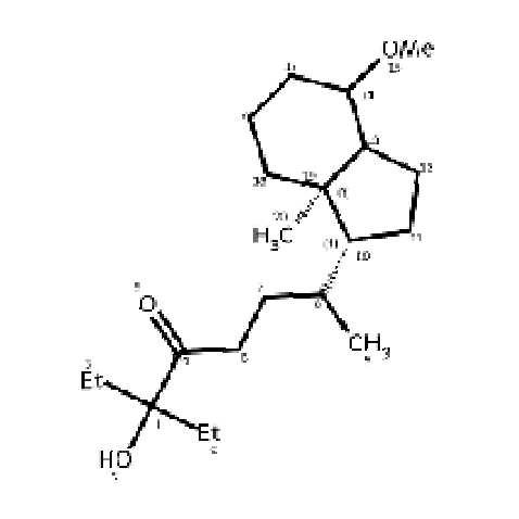 CCC(O)(CC)C(=O)CCC(C)[C@H]1CCC2C(OC)CCC[C@@]21C